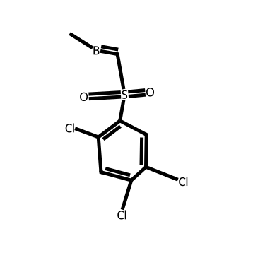 CB=CS(=O)(=O)c1cc(Cl)c(Cl)cc1Cl